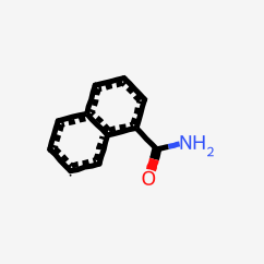 NC(=O)c1cccc2cc[c]cc12